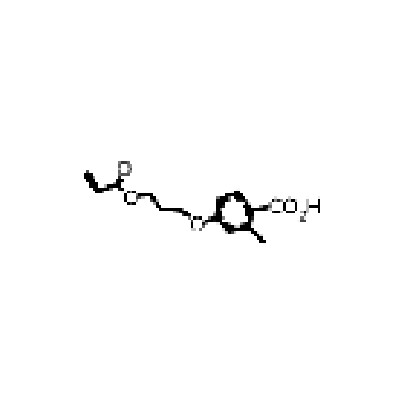 C=CC(=O)OCCCOc1ccc(C(=O)O)c(C)c1